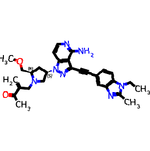 C=C(CN1C[C@@H](n2nc(C#Cc3ccc4c(c3)nc(C)n4CC)c3c(N)nccc32)C[C@@H]1COC)C(C)=O